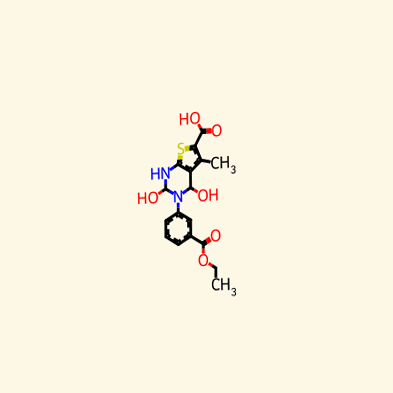 CCOC(=O)c1cccc(N2C(O)Nc3sc(C(=O)O)c(C)c3C2O)c1